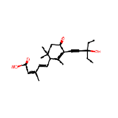 CCC(O)(C#CC1=C(C)C(/C=C/C(C)=C\C(=O)O)C(C)(C)CC1=O)CC